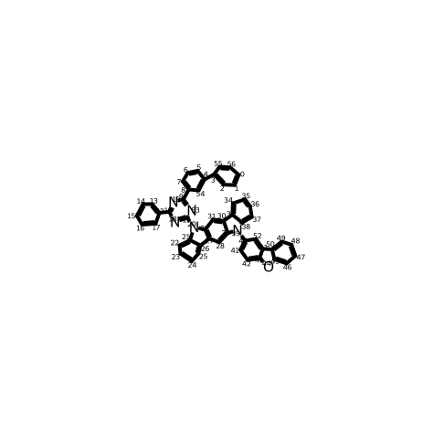 c1ccc(-c2cccc(-c3nc(-c4ccccc4)nc(-n4c5ccccc5c5cc6c(cc54)c4ccccc4n6-c4ccc5oc6ccccc6c5c4)n3)c2)cc1